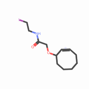 O=C(COC1/C=C\CCCCC1)NCCI